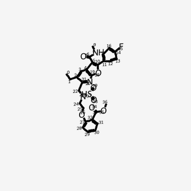 CCc1cc2c(C(=O)NC)c(-c3ccc(F)cc3)oc2nc1CN(CCOc1ccccc1C(=O)OC)[SH](=O)=O